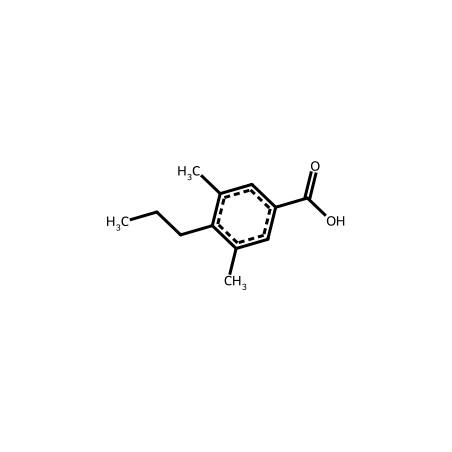 CCCc1c(C)cc(C(=O)O)cc1C